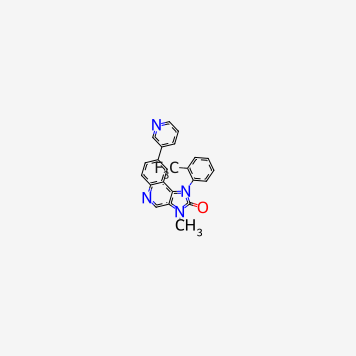 Cn1c(=O)n(-c2ccccc2C(F)(F)F)c2c3cc(-c4cccnc4)ccc3ncc21